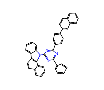 c1ccc(-c2nc(-c3ccc(-c4ccc5ccccc5c4)cc3)nc(-n3c4ccccc4c4ccc5ccccc5c43)n2)cc1